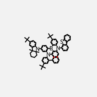 Cc1cc2c3c(c1)N(c1cccc4c1sc1ccccc14)c1ccc(C(C)(C)C)cc1B3c1ccc(N3c4ccc(C(C)(C)C)cc4C4(C)CCCCC34C)cc1N2c1ccc(C(C)(C)C)cc1-c1ccccc1